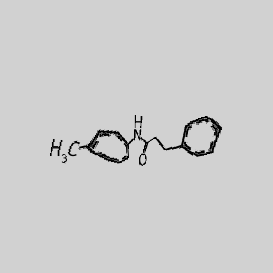 Cc1ccc(NC(=O)CCc2ccccc2)cc1